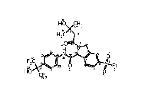 CCS(=O)(=O)c1ccc2c(c1)CN(C(=O)CC(C)(C)O)C2C(=O)Nc1ccc(C(O)(C(F)(F)F)C(F)(F)F)cc1